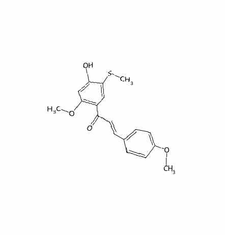 COc1ccc(/C=C/C(=O)c2cc(SC)c(O)cc2OC)cc1